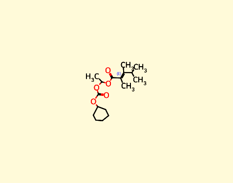 C/C(C(=O)OC(C)OC(=O)OC1CCCCC1)=C(/C)C(C)C